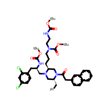 CC(C)C[C@@H]1CN(C[C@@H](Cc2ccc(Cl)cc2Cl)NC(=O)OC(C)(C)C)[C@@H](CCCN(CCNC(=O)OC(C)(C)C)C(=O)OC(C)(C)C)CN1C(=O)Cc1ccc2ccccc2c1